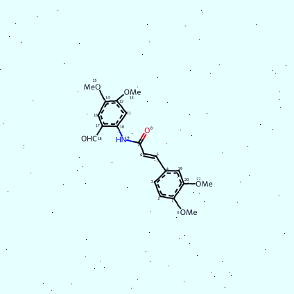 COc1ccc(/C=C/C(=O)Nc2cc(OC)c(OC)cc2C=O)cc1OC